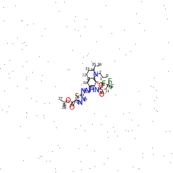 CCCN1c2cc(NS(=O)(=O)CC(F)(F)F)c(N=Nc3nnc(C(=O)OC(C)C)s3)cc2CCC1CC